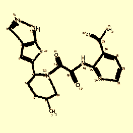 CC1CCC(c2cc3cn[nH]c3s2)N(C(=O)C(=O)Nc2ncccc2C(N)=O)C1